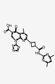 Cc1cc(C)nc(NC(=O)C2CN(c3cc(C)c4c(=O)c(C(=O)O)cn(-c5ncns5)c4n3)C2)n1